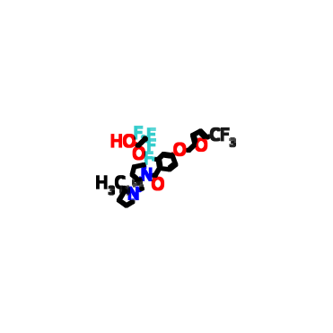 C[C@@H]1CCCN1C[C@@H]1CCCN1C(=O)c1ccc(OCc2ccc(C(F)(F)F)o2)cc1F.O=C(O)C(F)(F)F